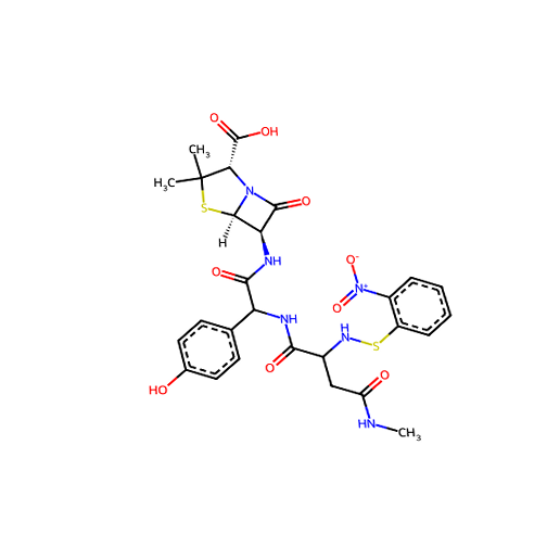 CNC(=O)CC(NSc1ccccc1[N+](=O)[O-])C(=O)NC(C(=O)N[C@@H]1C(=O)N2[C@@H]1SC(C)(C)[C@@H]2C(=O)O)c1ccc(O)cc1